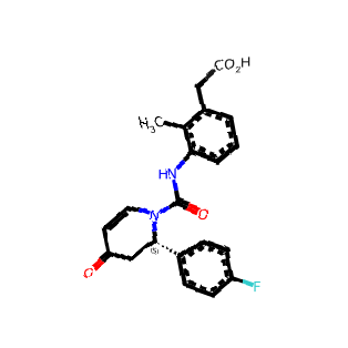 Cc1c(CC(=O)O)cccc1NC(=O)N1C=CC(=O)C[C@H]1c1ccc(F)cc1